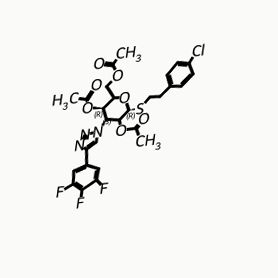 CC(=O)OCC1O[C@H](SCCc2ccc(Cl)cc2)C(OC(C)=O)[C@@H](n2cc(-c3cc(F)c(F)c(F)c3)nn2)[C@H]1OC(C)=O